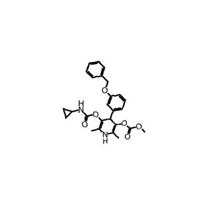 COC(=O)OC1=C(C)NC(C)=C(OC(=O)NC2CC2)C1c1cccc(OCc2ccccc2)c1